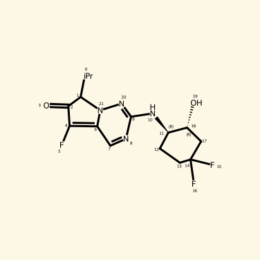 CC(C)C1C(=O)C(F)=C2C=NC(N[C@@H]3CCC(F)(F)C[C@H]3O)=NN21